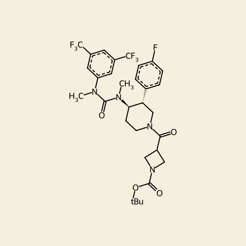 CN(C(=O)N(C)[C@@H]1CCN(C(=O)C2CN(C(=O)OC(C)(C)C)C2)C[C@H]1c1ccc(F)cc1)c1cc(C(F)(F)F)cc(C(F)(F)F)c1